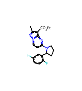 CCOC(=O)c1c(C)nn2ccc(N3CCCC3c3cc(F)ccc3F)nc12